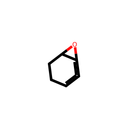 C1=CCCC2OC=12